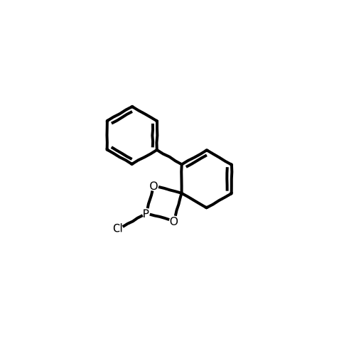 ClP1OC2(CC=CC=C2c2ccccc2)O1